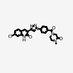 CN1CCN(C(=O)c2ccc(-n3cc(-c4cc5ccc(Cl)cc5[nH]c4=O)nn3)cc2)CC1=O